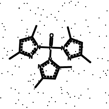 Cc1cc(C)n(P(=O)(n2nc(C)cc2C)n2nc(C)cc2C)n1